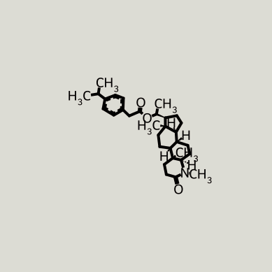 CC(C)c1ccc(CC(=O)OC(C)[C@H]2CC[C@H]3[C@@H]4CC[C@H]5N(C)C(=O)CC[C@]5(C)[C@H]4CC[C@]23C)cc1